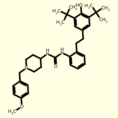 COc1ccc(CN2CCC(NC(=O)Nc3ccccc3CCc3cc(C(C)(C)C)c(O)c(C(C)(C)C)c3)CC2)cc1